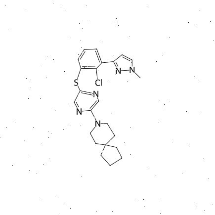 Cn1ccc(-c2cccc(Sc3cnc(N4CCC5(CCCC5)CC4)cn3)c2Cl)n1